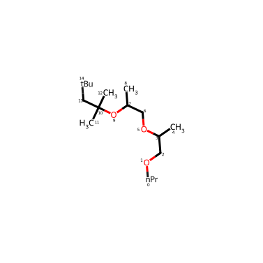 CCCOCC(C)OCC(C)OC(C)(C)CC(C)(C)C